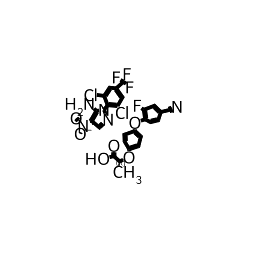 C[C@@H](Oc1ccc(Oc2ccc(C#N)cc2F)cc1)C(=O)O.Nc1c([N+](=O)[O-])cnn1-c1c(Cl)cc(C(F)(F)F)cc1Cl